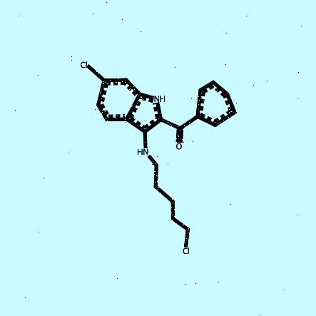 O=C(c1ccccc1)c1[nH]c2cc(Cl)ccc2c1NCCCCCCl